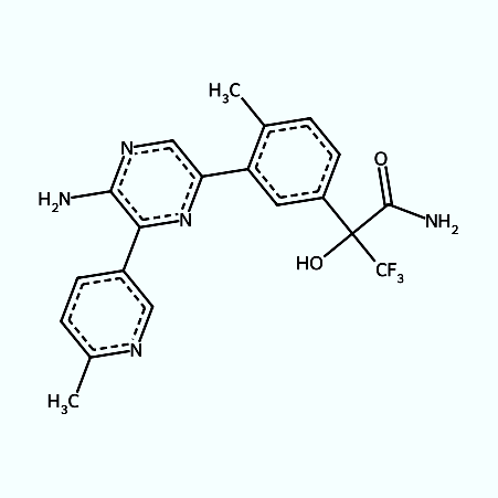 Cc1ccc(-c2nc(-c3cc(C(O)(C(N)=O)C(F)(F)F)ccc3C)cnc2N)cn1